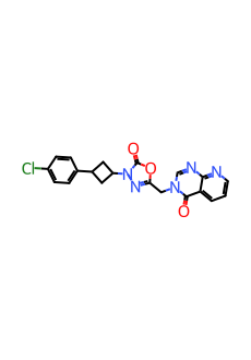 O=c1c2cccnc2ncn1Cc1nn(C2CC(c3ccc(Cl)cc3)C2)c(=O)o1